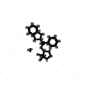 C[N+]1(C)CCCC1CN(c1ccccc1)C1Cc2ccccc2C1.[I-]